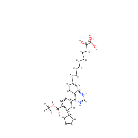 CC(C)(C)OC(=O)c1ccc(-c2ncnc3cc(CCCCCCCCC(=O)C(=O)O)ccc23)cc1C1CCCC1